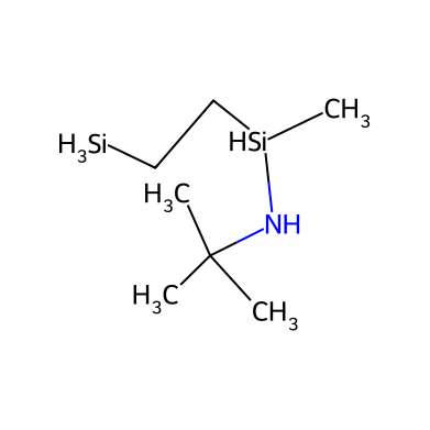 C[SiH](CC[SiH3])NC(C)(C)C